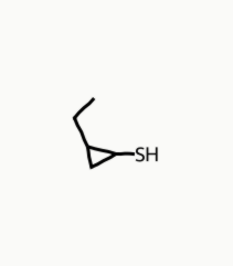 CCC1CC1S